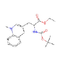 CCOC(=O)C(CC1=CN(C)c2ccccc2C1)NC(=O)OC(C)(C)C